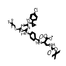 COC(=O)C(CNC(=O)OC(C)(C)C)NC(=O)c1ccc(Nc2nc(NC3(c4ccc(Cl)cc4)CC3)nc(OCC(F)(F)F)n2)cc1